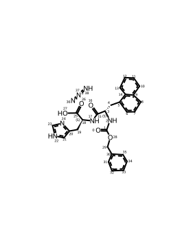 O=C(N[C@@H](Cc1cccc2ccccc12)C(=O)N[C@@H](Cc1c[nH]cn1)C(=O)O)OCc1ccccc1.[N-]=[N+]=N